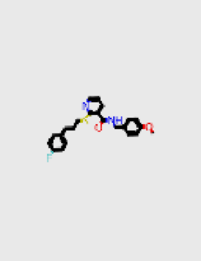 COc1ccc(CNC(=O)c2cccnc2SCCCc2ccc(F)cc2)cc1